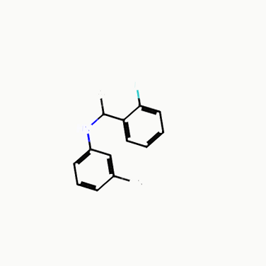 CC(=O)C(Nc1cccc(C#N)c1)c1ccccc1F